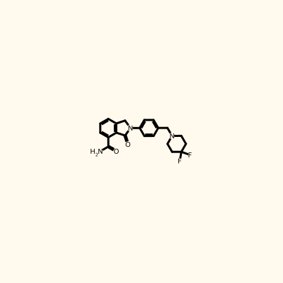 NC(=O)c1cccc2c1C(=O)N(c1ccc(CN3CCC(F)(F)CC3)cc1)C2